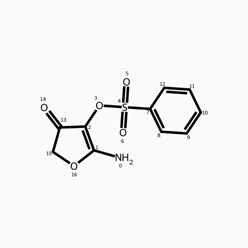 NC1=C(OS(=O)(=O)c2ccccc2)C(=O)CO1